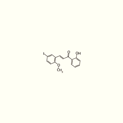 COc1ccc(I)cc1C=CC(=O)c1ccccc1O